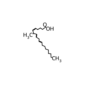 CCCCCCCCC=CCC=CC(C)/C=C\CCCC(=O)O